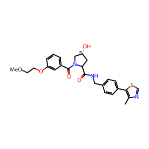 COCCOc1cccc(C(=O)N2C[C@H](O)CC2C(=O)NCc2ccc(-c3scnc3C)cc2)c1